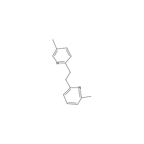 Cc1ccc(CCc2cccc(C)n2)nc1